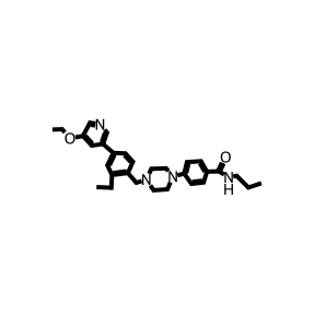 CCCNC(=O)c1ccc(N2CCN(Cc3ccc(-c4cncc(OCC)c4)cc3CC)CC2)cc1